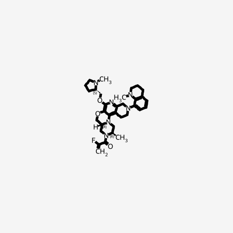 C=C(F)C(=O)N1C[C@@H]2COc3c(OC[C@@H]4CCCN4C)nc4c(c3N2C[C@H]1C)CCN(c1cccc2c1N(C)CCC2)C4